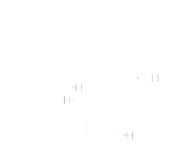 O=C(O)c1cc(O)c(Br)c(O)c1.Oc1ccccc1-c1ccccc1